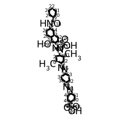 Cc1cc(/N=N/c2c(S(=O)(=O)O)cc3cc(NC(=O)c4ccccc4)ccc3c2O)c(C)cc1/N=N/c1ccc(/N=N/c2ccc(S(=O)(=O)O)cc2)cc1